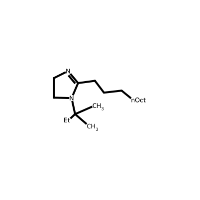 CCCCCCCCCCCC1=NCCN1C(C)(C)CC